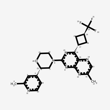 Cc1cc([C@H]2CN(c3nc4nc(C)cnc4c([C@H]4C[C@H](C(F)(F)F)C4)n3)CCO2)ccn1